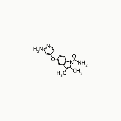 Cc1c(C)n(C(N)=O)c2ccc(Oc3ccnc(N)c3)cc12